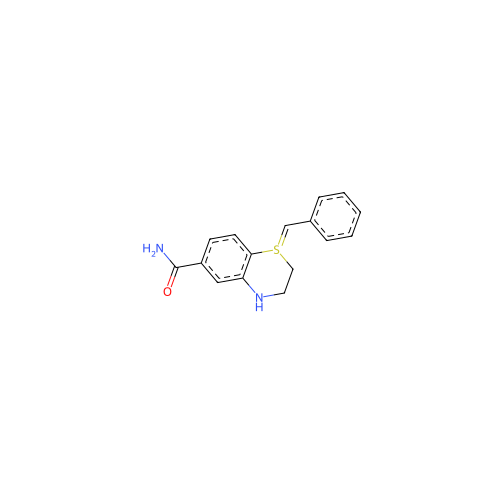 NC(=O)c1ccc2c(c1)NCCS2=Cc1ccccc1